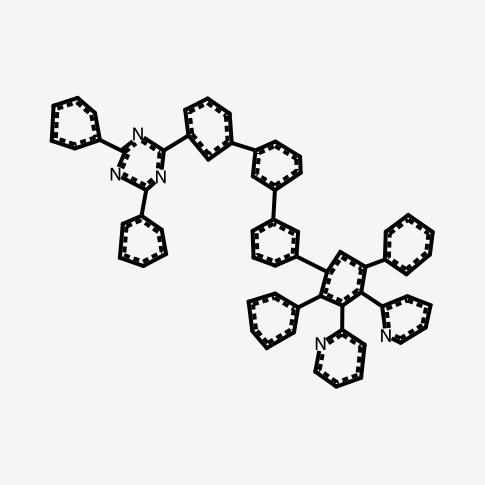 c1ccc(-c2nc(-c3ccccc3)nc(-c3cccc(-c4cccc(-c5cccc(-c6cc(-c7ccccc7)c(-c7ccccn7)c(-c7ccccn7)c6-c6ccccc6)c5)c4)c3)n2)cc1